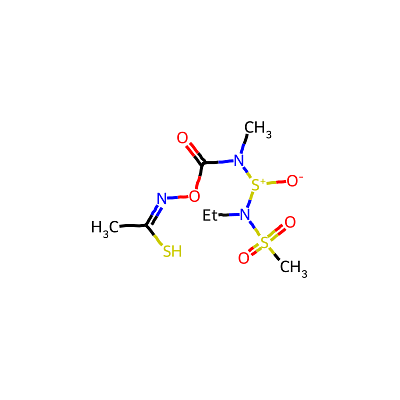 CCN([S+]([O-])N(C)C(=O)ON=C(C)S)S(C)(=O)=O